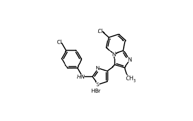 Br.Cc1nc2ccc(Cl)cn2c1-c1csc(Nc2ccc(Cl)cc2)n1